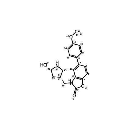 Cl.O=c1oc2ccc(-c3ccc(OC(F)(F)F)cc3)cc2n1C[C@@H]1CCNC1